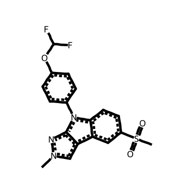 Cn1cc2c3cc(S(C)(=O)=O)ccc3n(-c3ccc(OC(F)F)cc3)c2n1